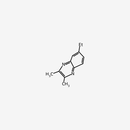 CCc1ccc2nc(C)c(C)nc2c1